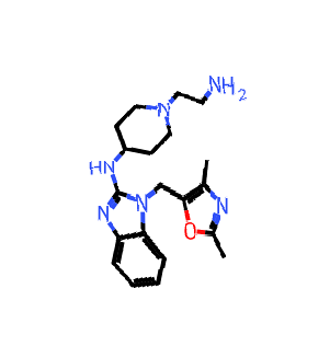 Cc1nc(C)c(Cn2c(NC3CCN(CCN)CC3)nc3ccccc32)o1